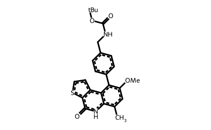 COc1cc(C)c2[nH]c(=O)c3sccc3c2c1-c1ccc(CNC(=O)OC(C)(C)C)cc1